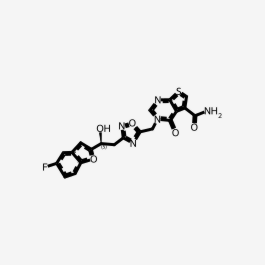 NC(=O)c1csc2ncn(Cc3nc(C[C@H](O)c4cc5cc(F)ccc5o4)no3)c(=O)c12